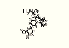 COc1cc(-c2ccc(C3(OC(N)=O)CC3C3CN4CCC3CC4)cc2)ccc1F